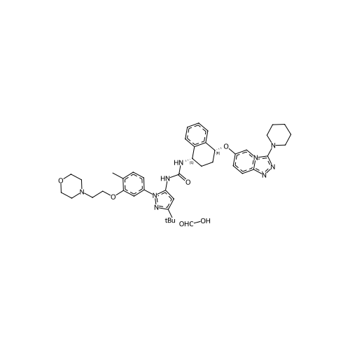 Cc1ccc(-n2nc(C(C)(C)C)cc2NC(=O)N[C@H]2CC[C@@H](Oc3ccc4nnc(N5CCCCC5)n4c3)c3ccccc32)cc1OCCN1CCOCC1.O=CO